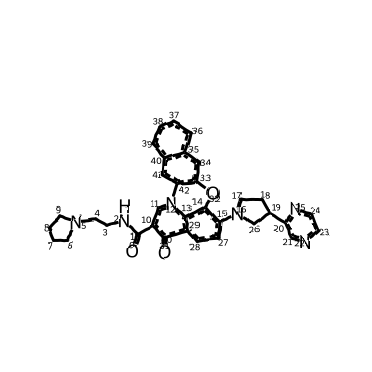 O=C(NCCN1CCCC1)c1cn2c3c(c(N4CCC(c5cnccn5)C4)ccc3c1=O)Oc1cc3ccccc3cc1-2